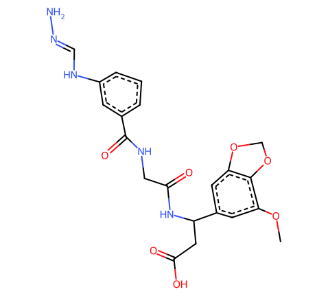 COc1cc(C(CC(=O)O)NC(=O)CNC(=O)c2cccc(NC=NN)c2)cc2c1OCO2